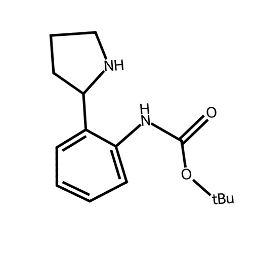 CC(C)(C)OC(=O)Nc1ccccc1C1CCCN1